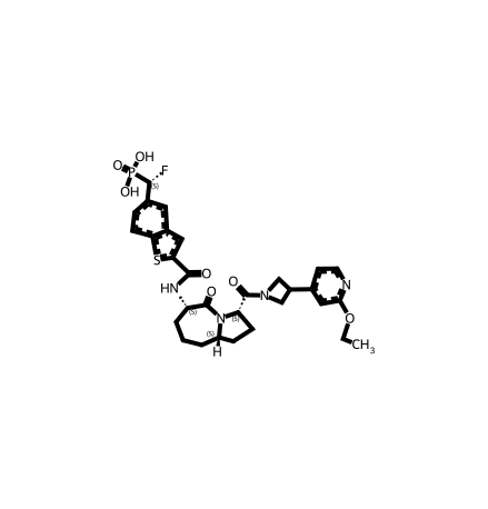 CCOc1cc(C2CN(C(=O)[C@@H]3CC[C@@H]4CCC[C@H](NC(=O)c5cc6cc([C@@H](F)P(=O)(O)O)ccc6s5)C(=O)N43)C2)ccn1